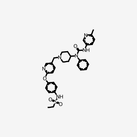 CCS(=O)(=O)Nc1ccc(Oc2ccc(CN3CCC(N(C(=O)Nc4ccc(C)nc4)c4ccccc4)CC3)cn2)cc1